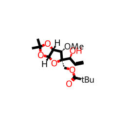 C=C[C@H](O)[C@@]1(COC(=O)C(C)(C)C)O[C@@H]2OC(C)(C)O[C@@H]2[C@@H]1OC